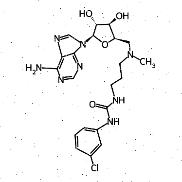 CN(CCCNC(=O)Nc1cccc(Cl)c1)C[C@H]1O[C@@H](n2cnc3c(N)ncnc32)[C@H](O)[C@H]1O